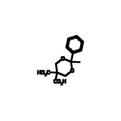 CC1(c2ccccc2)OCC(C(=O)O)(C(=O)O)CO1